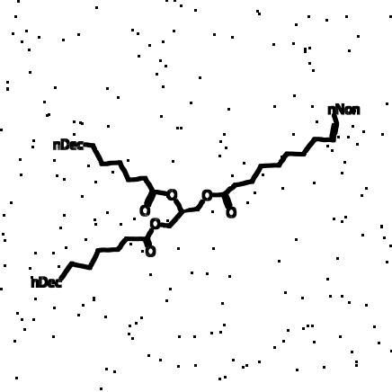 CCCCCCCCC/C=C\CCCCCCCC(=O)OC[C@@H](COC(=O)CCCCCCCCCCCCCCC)OC(=O)CCCCCCCCCCCCCCC